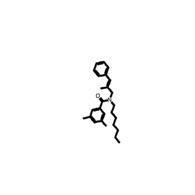 CCCCCCCN(C/C(C)=C/c1ccccc1)C(=O)c1cc(C)cc(C)c1